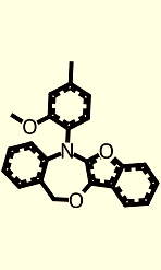 COc1cc(C)ccc1N1c2ccccc2COc2c1oc1ccccc21